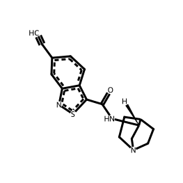 C#Cc1ccc2c(C(=O)N[C@H]3CN4CCC3CC4)snc2c1